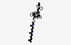 C=C(NCCC(=O)OCC)N[C@@H](CSC/C=C(\C)CC/C=C(\C)CCC=C(C)C)C(=O)O